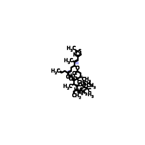 C=CC/C(C)=C\CC(OC(=O)C[C@H](C)C(C)(C)C(=O)C(C)[C@@H](O[Si](C)(C)C(C)(C)C)[C@@H](C)C=C)/C(C)=C/c1csc(C)n1